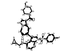 Cc1ccc(S(=O)(=O)n2cc(-c3ccn4ncc(C(=O)N5CCN(C)CC5)c4c3)c3c(NCC4CC4)ncnc32)cc1